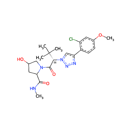 CNC(=O)C1CC(O)CN1C(=O)[C@@H](n1cc(-c2ccc(OC)cc2Cl)nn1)C(C)(C)C